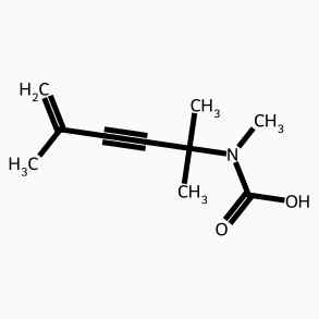 C=C(C)C#CC(C)(C)N(C)C(=O)O